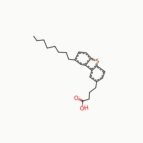 CCCCCCCCc1ccc2sc3ccc(CCCC(=O)O)cc3c2c1